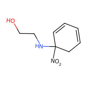 O=[N+]([O-])C1(NCCO)C=CC=CC1